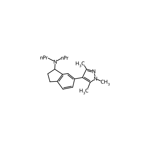 CCCN(CCC)C1CCc2ccc(-c3c(C)nn(C)c3C)cc21